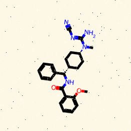 COc1ccccc1C(=O)NC(c1ccccc1)[C@H]1CC[C@@H](N(C)C(N)=NC#N)CC1